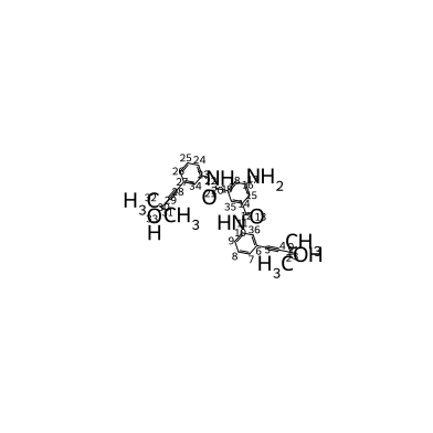 CC(C)(O)C#Cc1cccc(NC(=O)c2cc(N)cc(C(=O)Nc3cccc(C#CC(C)(C)O)c3)c2)c1